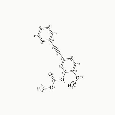 COC(=O)Oc1cc(C#Cc2ccccc2)ccc1OC